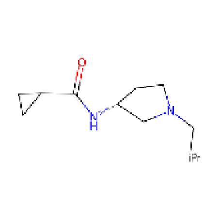 CC(C)CN1CC[C@@H](NC(=O)C2CC2)C1